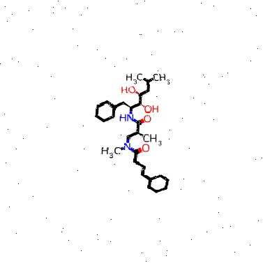 CC(C)C[C@H](O)[C@H](O)[C@H](CC1CCCCC1)NC(=O)[C@@H](C)CN(C)C(=O)CCCC1CCCCC1